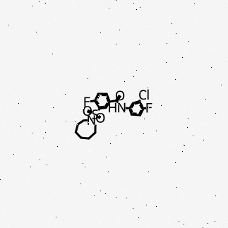 O=C(Nc1ccc(F)c(Cl)c1)c1ccc(F)c(S(=O)(=O)N2CCCCCCC2)c1